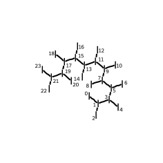 II(I)I(I)I(I)I(I)I(I)I(I)I(I)I(I)I(I)I(I)I(I)I